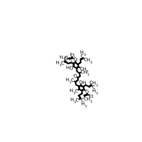 CC=C(CC)Oc1c(CC=C(C)C)c(C)c(CC(C)CC(=O)CC(C)Cc2c(C)c(CC=C(C)C)c(OC(=CC)CC)c(CC=C(C)C)c2O)c(O)c1CC=C(C)C